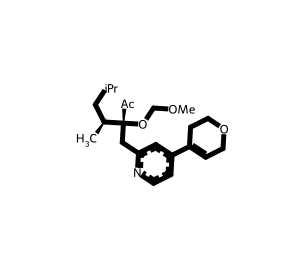 COCO[C@@](Cc1cc(C2=CCOCC2)ccn1)(C(C)=O)[C@@H](C)CC(C)C